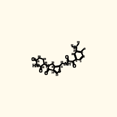 Cc1ccc(C(=O)C(=O)NCc2scc3c2CN(C2CCC(=O)NC2=O)C3=O)cc1N(C)C